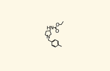 CCOC(=O)NC1CCN(Cc2ccc(C)cc2)C1